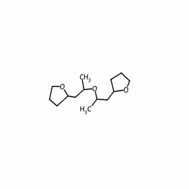 CC(CC1CCCO1)OC(C)CC1CCCO1